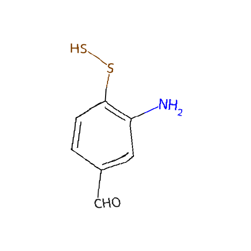 Nc1cc(C=O)ccc1SS